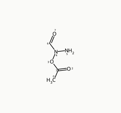 CC(=O)ON(N)C=O